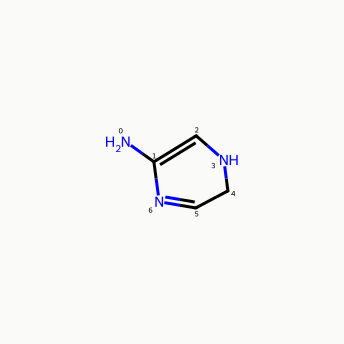 NC1=CNCC=N1